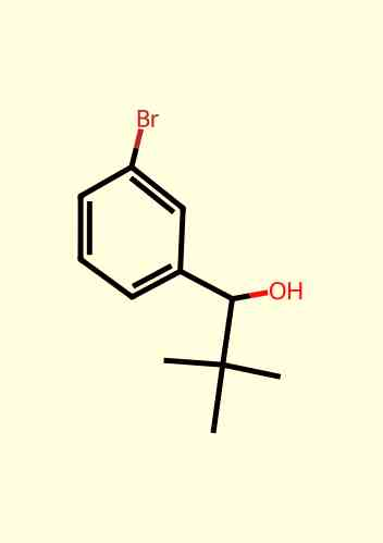 CC(C)(C)C(O)c1cccc(Br)c1